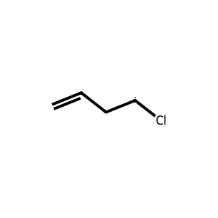 C=CC[CH]Cl